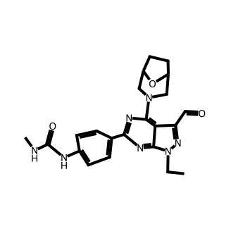 CCn1nc(C=O)c2c(N3CC4CCC(C3)O4)nc(-c3ccc(NC(=O)NC)cc3)nc21